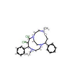 CN1CCC(c2ccccc2)N2CCN(C)C(c3ccccc3)C(Cl)C(Cl)N(CC1)CC2